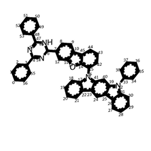 c1ccc(C2=NC(c3ccc4c(c3)oc3c(-n5c6ccccc6c6cc7c8ccccc8n(-c8ccccc8)c7cc65)cccc34)NC(c3ccccc3)=N2)cc1